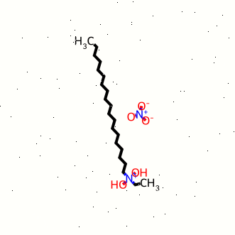 CCCCCCCCCCCCCCCCCCC[N+](O)(O)CC.O=[N+]([O-])[O-]